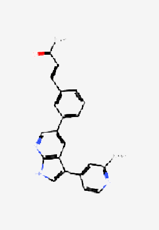 CNC(=O)/C=C/c1cccc(-c2cnc3[nH]cc(-c4ccnc(NC)c4)c3c2)c1